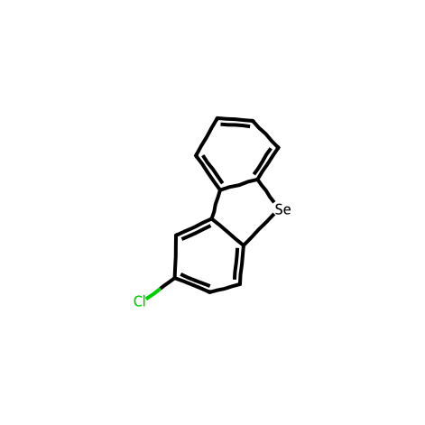 Clc1ccc2[se]c3ccccc3c2c1